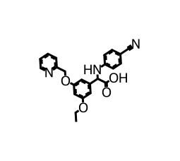 CCOc1cc(OCc2ccccn2)cc(C(Nc2ccc(C#N)cc2)C(=O)O)c1